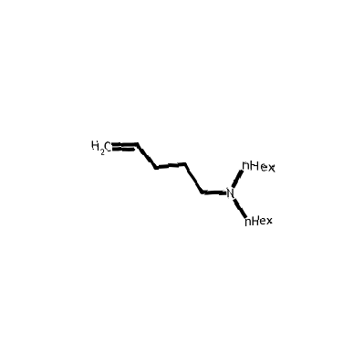 C=CCCCN(CCCCCC)CCCCCC